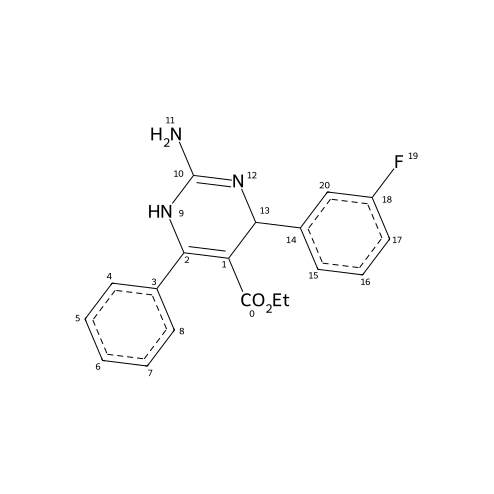 CCOC(=O)C1=C(c2ccccc2)NC(N)=NC1c1cccc(F)c1